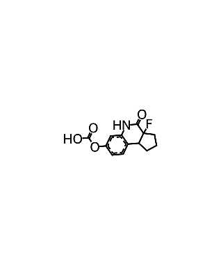 O=C(O)Oc1ccc2c(c1)NC(=O)C1(F)CCCC21